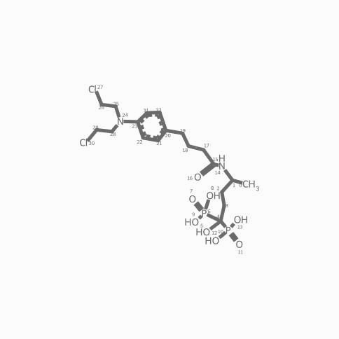 CC(CCC(O)(P(=O)(O)O)P(=O)(O)O)NC(=O)CCCc1ccc(N(CCCl)CCCl)cc1